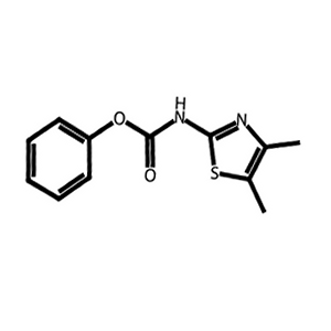 Cc1nc(NC(=O)Oc2ccccc2)sc1C